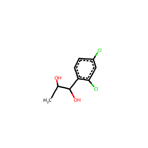 CC(O)C(O)c1ccc(Cl)cc1Cl